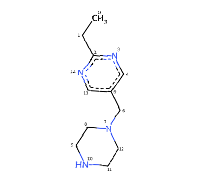 CCc1ncc(CN2CCNCC2)cn1